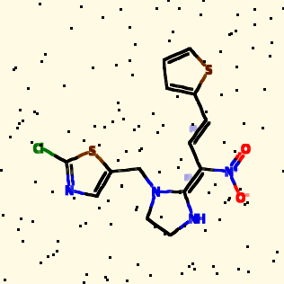 O=[N+]([O-])C(/C=C/c1cccs1)=C1\NCCN1Cc1cnc(Cl)s1